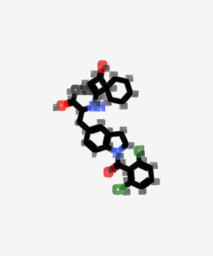 COC(=O)C(Cc1ccc2c(c1)CCN2C(=O)c1c(Cl)cccc1Cl)NC1=CC(=O)C12CCCCC2